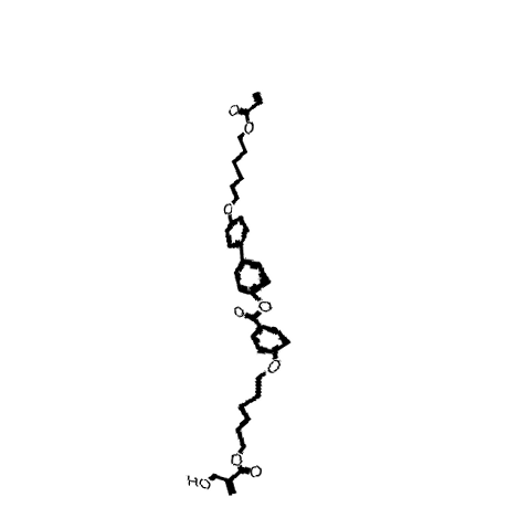 C=CC(=O)OCCCCCCOc1ccc(-c2ccc(OC(=O)c3ccc(OCCCCCCOC(=O)C(=C)CO)cc3)cc2)cc1